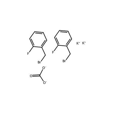 Fc1ccccc1CBr.Fc1ccccc1CBr.O=C([O-])[O-].[K+].[K+]